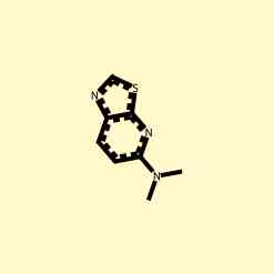 CN(C)c1ccc2n[c]sc2n1